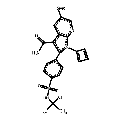 CSc1cnc2c(c1)c(C(N)=O)c(-c1ccc(S(=O)(=O)NC(C)(C)C(F)(F)F)cc1)n2C1=CC=C1